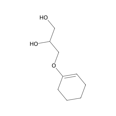 OCC(O)COC1=CCCCC1